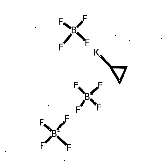 F[B-](F)(F)F.F[B-](F)(F)F.F[B-](F)(F)F.[K][CH]1CC1